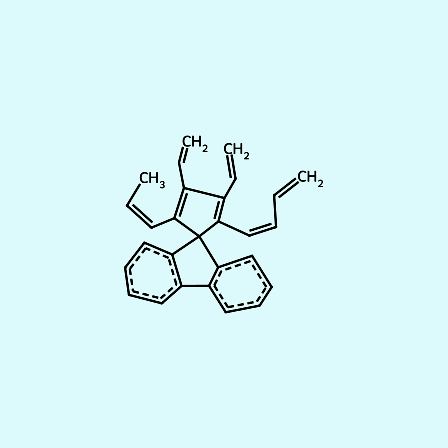 C=C/C=C\C1=C(C=C)C(C=C)=C(/C=C\C)C12c1ccccc1-c1ccccc12